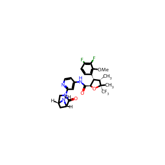 COc1c([C@H]2[C@H](C(=O)Nc3ccnc(N4C[C@H]5C[C@@H](C4=O)N5C)c3)O[C@@](C)(C(F)(F)F)[C@H]2C)ccc(F)c1F